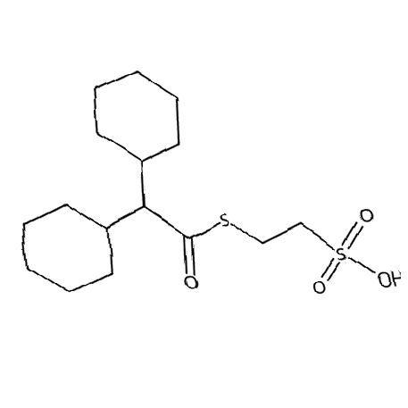 O=C(SCCS(=O)(=O)O)C(C1CCCCC1)C1CCCCC1